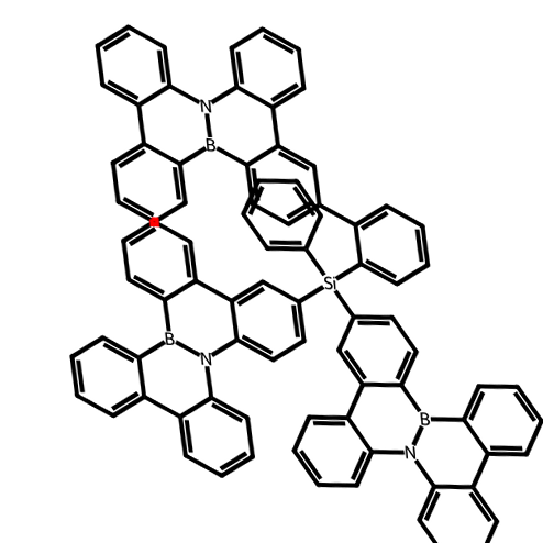 c1ccc([Si](c2ccc3c(c2)-c2ccccc2N2B3c3ccccc3-c3ccccc32)(c2ccc3c(c2)-c2ccccc2B2c4ccccc4-c4ccccc4N23)c2ccccc2-c2ccc3c(c2)-c2ccccc2N2B3c3ccccc3-c3ccccc32)cc1